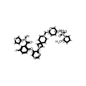 CC(C)N(C(=O)c1cc(F)ccc1Oc1cncnc1N1CC2(CCN(C[C@@H]3CC[C@@H](NS(=O)(=O)N4CCC[C@@H]4C)CO3)CC2)C1)[C@H]1CCOC1